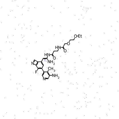 CCOCCOCC(=O)NCCC(=O)N/C(N)=C/c1cc(-c2cncc(N)c2C)c(F)c2c1C=N2